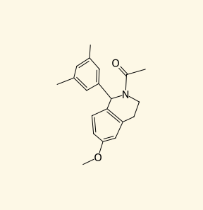 COc1ccc2c(c1)CCN(C(C)=O)C2c1cc(C)cc(C)c1